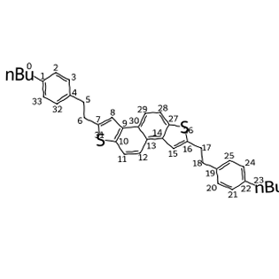 CCCCc1ccc(CCc2cc3c(ccc4c5cc(CCc6ccc(CCCC)cc6)sc5ccc34)s2)cc1